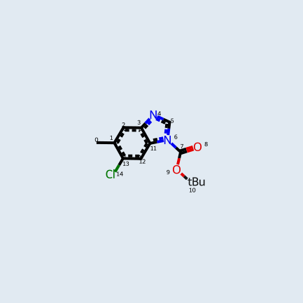 Cc1cc2ncn(C(=O)OC(C)(C)C)c2cc1Cl